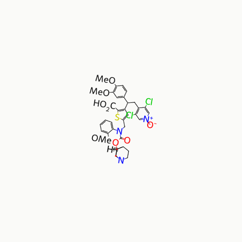 COc1ccc(C(Cc2c(Cl)c[n+]([O-])cc2Cl)c2cc(CN(C(=O)O[C@H]3CN4CCC3CC4)c3ccccc3OC)sc2C(=O)O)cc1OC